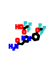 NC(=O)Cc1cn(-c2cccc(OC(F)(F)F)c2)cn1.O=C(O)C(F)(F)F